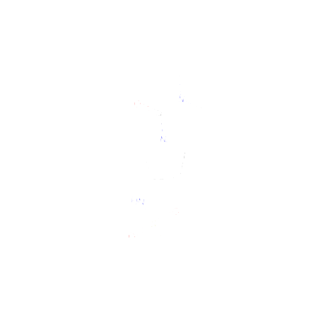 C[C@H]1[C@@H](NS(C)(=O)=O)CCN1C(=O)N(C)C